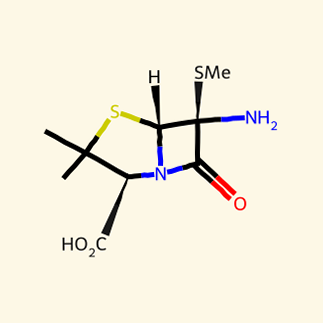 CS[C@@]1(N)C(=O)N2[C@@H](C(=O)O)C(C)(C)S[C@@H]21